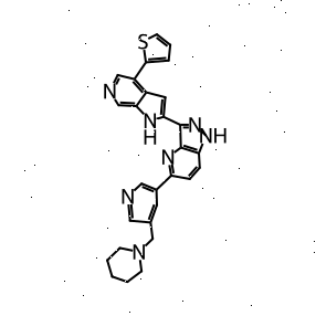 c1csc(-c2cncc3[nH]c(-c4n[nH]c5ccc(-c6cncc(CN7CCCCC7)c6)nc45)cc23)c1